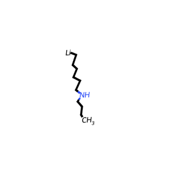 [Li][CH2]CCCCCNCCCC